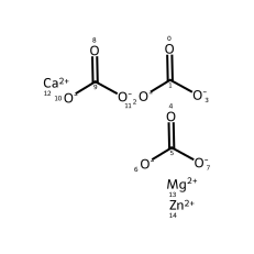 O=C([O-])[O-].O=C([O-])[O-].O=C([O-])[O-].[Ca+2].[Mg+2].[Zn+2]